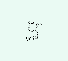 B[C@@H]1OCC(OC(C)C)C1OS